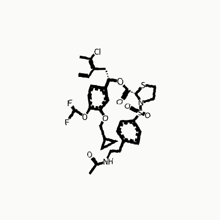 C=C/C(C[C@H](OC(=O)[C@@H]1SCCN1S(=O)(=O)c1ccc(CCNC(C)=O)cc1)c1ccc(OC(F)F)c(OCC2CC2)c1)=C(\C)Cl